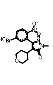 Cl.Cn1[nH]c(-c2cc(Br)ccc2[N+](=O)[O-])c(C2CCOCC2)c1=O